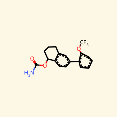 NC(=O)OC1CCCc2cc(-c3ccccc3OC(F)(F)F)ccc21